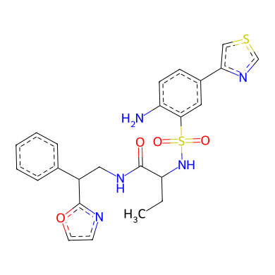 CCC(NS(=O)(=O)c1cc(-c2cscn2)ccc1N)C(=O)NCC(c1ccccc1)c1ncco1